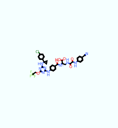 N#Cc1ccc(NC(=O)C(=O)NC/C(=N/C(=O)c2ccc(Nc3nc(NC4(c5ccc(Cl)cc5)CC4)nc(OCC(F)(F)F)n3)cc2)C(=O)O)cc1